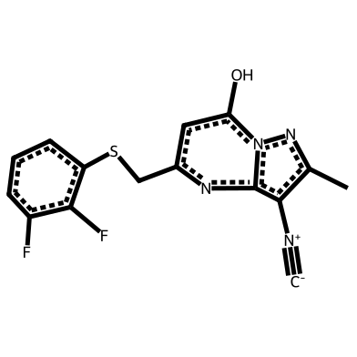 [C-]#[N+]c1c(C)nn2c(O)cc(CSc3cccc(F)c3F)nc12